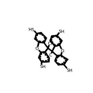 CC1(C2(C)c3ccc(S)cc3Oc3cc(S)ccc32)c2ccc(S)cc2Oc2cc(S)ccc21